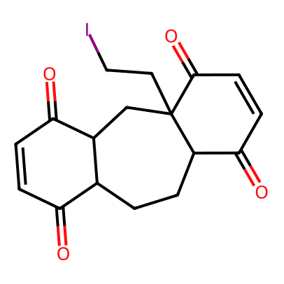 O=C1C=CC(=O)C2CC3(CCI)C(=O)C=CC(=O)C3CCC12